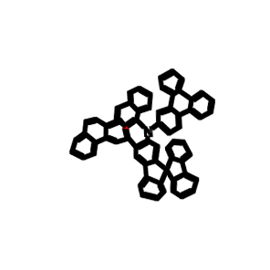 c1ccc2c(c1)-c1ccccc1C21c2ccccc2-c2cc(-c3ccc4ccc5ccccc5c4c3)c(N(c3ccc4c5ccccc5c5ccccc5c4c3)c3cccc4ccccc34)cc21